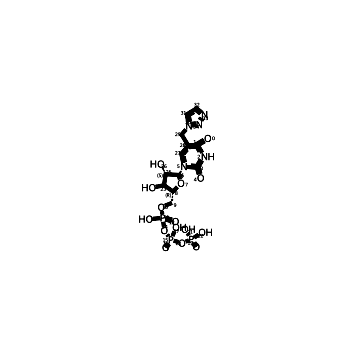 O=c1[nH]c(=O)n([C@@H]2O[C@H](COP(=O)(O)OP(=O)(O)OP(=O)(O)O)C(O)[C@@H]2O)cc1Cn1ccnn1